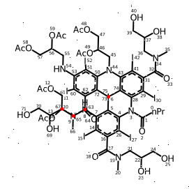 CCCC(=O)N(c1c(I)c(NCC(COC(C)=O)OC(C)=O)c(I)c(C(=O)N(C)CC(O)CO)c1I)c1c(I)c(C(=O)N(C)CC(O)CO)c(I)c(N(CC(COC(C)=O)OC(C)=O)c2c(I)c(NCC(COC(C)=O)OC(C)=O)c(I)c(C(=O)N(C)CC(O)CO)c2I)c1I